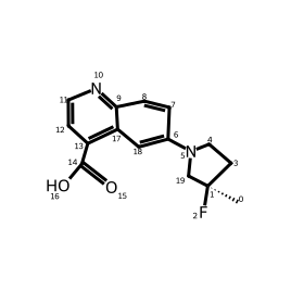 C[C@@]1(F)CCN(c2ccc3nccc(C(=O)O)c3c2)C1